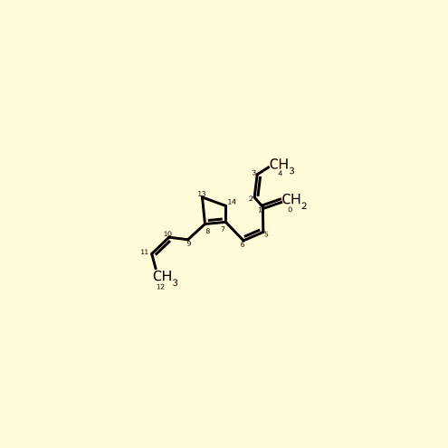 C=C(/C=C\C)/C=C\C1=C(C/C=C\C)CC1